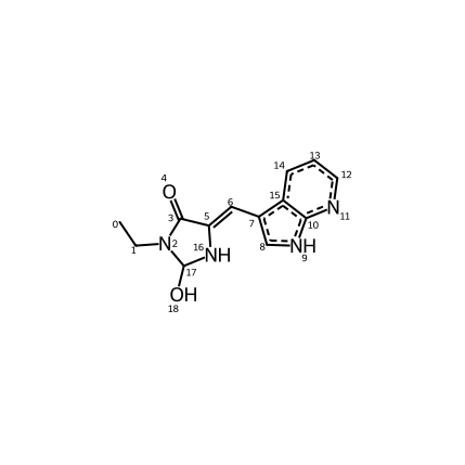 CCN1C(=O)/C(=C/c2c[nH]c3ncccc23)NC1O